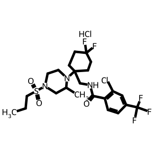 CCCS(=O)(=O)N1CCN(C2(CNC(=O)c3ccc(C(F)(F)F)cc3Cl)CCC(F)(F)CC2)C(C)C1.Cl